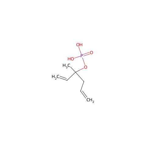 C=CCC(C)(C=C)OP(=O)(O)O